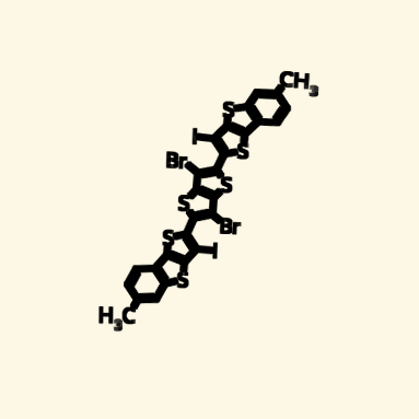 Cc1ccc2c(c1)sc1c(I)c(-c3sc4c(Br)c(-c5sc6c(sc7cc(C)ccc76)c5I)sc4c3Br)sc12